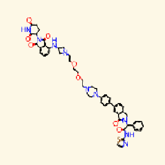 O=C1CCC(N2C(=O)c3cccc(NC4CN(CCOCCOCCN5CCN(c6ccc(-c7ccc8c(c7)C(=O)N(C(C(=O)Nc7nccs7)c7ccccc7)C8)cc6)CC5)C4)c3C2=O)C(=O)N1